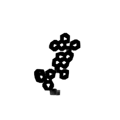 CC(C)(C)c1ccc2c(c1)-c1cc(N(c3ccccc3)c3ccc4ccc5c(N(c6ccccc6)c6cc7ccccc7c7ccccc67)ccc6ccc3c4c65)ccc1C21C2CC3CC(C2)CC1C3